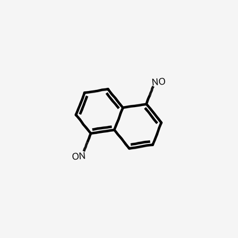 O=Nc1cccc2c(N=O)cccc12